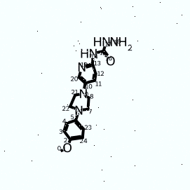 COc1ccc(N2CCN(c3ccc(NC(=O)NN)nc3)CC2)cc1